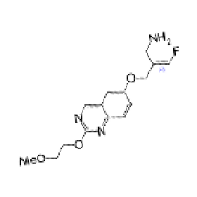 COCCOc1ncc2cc(OC/C(=C/F)CN)ccc2n1